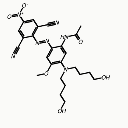 COc1cc(N=Nc2c(C#N)cc([N+](=O)[O-])cc2C#N)c(NC(C)=O)cc1N(CCCCO)CCCCO